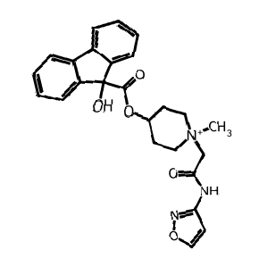 C[N+]1(CC(=O)Nc2ccon2)CCC(OC(=O)C2(O)c3ccccc3-c3ccccc32)CC1